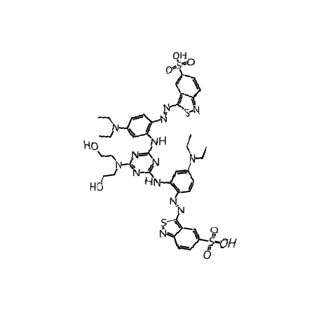 CCN(CC)c1ccc(/N=N/c2snc3ccc(S(=O)(=O)O)cc23)c(Nc2nc(Nc3cc(N(CC)CC)ccc3/N=N/c3snc4ccc(S(=O)(=O)O)cc34)nc(N(CCO)CCO)n2)c1